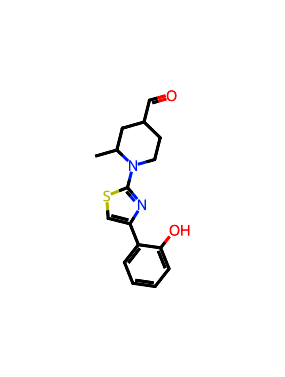 CC1CC(C=O)CCN1c1nc(-c2ccccc2O)cs1